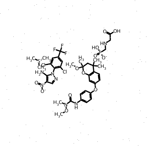 CON(C)C(=O)Nc1ccc(Oc2ccc3c(c2)OC(C)(OC)CC3(C)C)cc1.C[S+](C)C.Nc1c([N+](=O)[O-])cnn1-c1c(Cl)cc(C(F)(F)F)cc1Cl.O=C(O)CNCP(=O)([O-])O